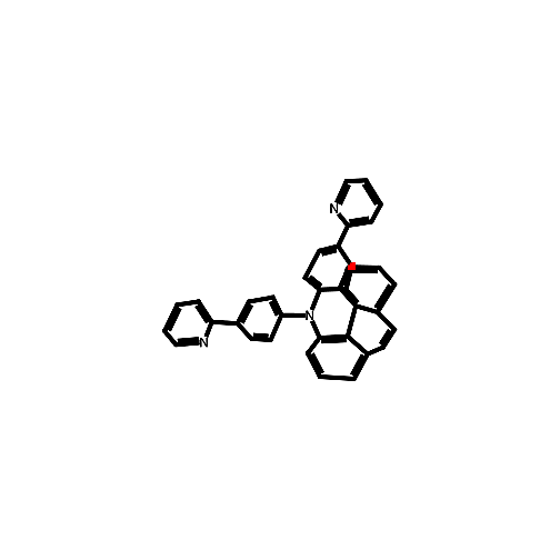 c1ccc(-c2ccc(N(c3ccc(-c4ccccn4)cc3)c3cccc4ccc5ccccc5c34)cc2)nc1